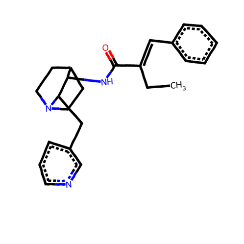 CC/C(=C\c1ccccc1)C(=O)NC1C2CCN(CC2)C1Cc1cccnc1